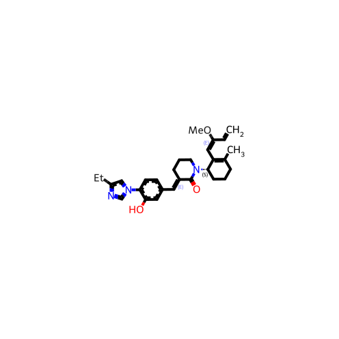 C=C/C(=C\C1=C(C)CCC[C@@H]1N1CCC/C(=C\c2ccc(-n3cnc(CC)c3)c(O)c2)C1=O)OC